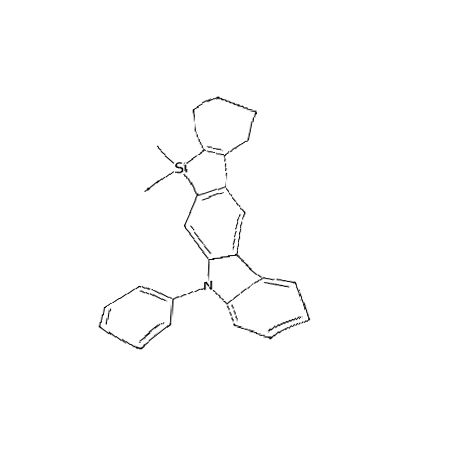 C[Si]1(C)C2=C(CCCC2)c2cc3c4ccccc4n(-c4ccccc4)c3cc21